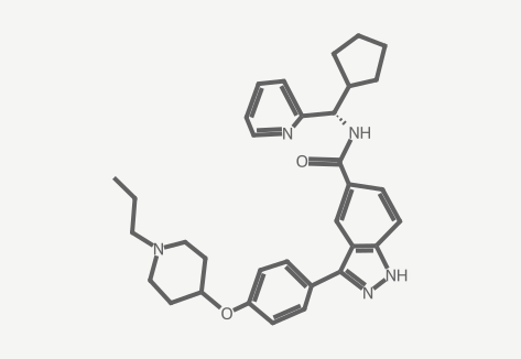 CCCN1CCC(Oc2ccc(-c3n[nH]c4ccc(C(=O)N[C@H](c5ccccn5)C5CCCC5)cc34)cc2)CC1